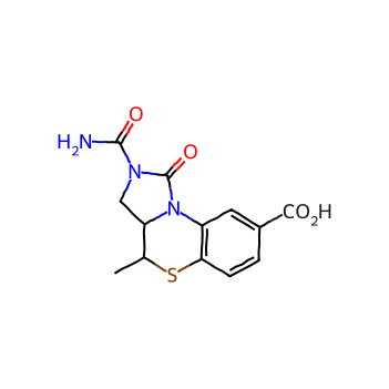 CC1Sc2ccc(C(=O)O)cc2N2C(=O)N(C(N)=O)CC12